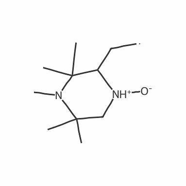 [CH2]CC1[NH+]([O-])CC(C)(C)N(C)C1(C)C